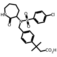 CC(C)(CC(=O)O)c1ccc(CN(C2CCCCNC2=O)S(=O)(=O)c2ccc(Cl)cc2)cc1